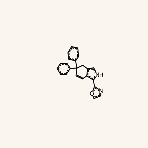 C1=CC(c2ccccc2)(c2ccccc2)Cc2c[nH]c(-c3ncco3)c21